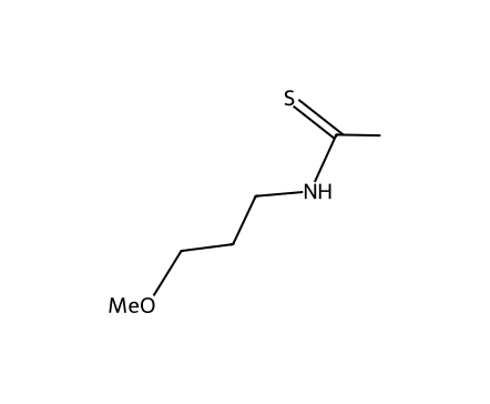 COCCCNC(C)=S